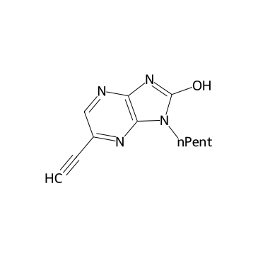 C#Cc1cnc2nc(O)n(CCCCC)c2n1